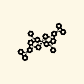 C[Si](C)(c1ccc2c(c1)c1c(n2-c2ccccc2)C=CC2c3cc(-n4c5ccccc5c5ccccc54)ccc3N(c3ccccc3)C12)c1ccc2c(c1)c1c(n2-c2ccccc2)C=CC2c3cc(-n4c5ccccc5c5ccccc54)ccc3N(c3ccccc3)C12